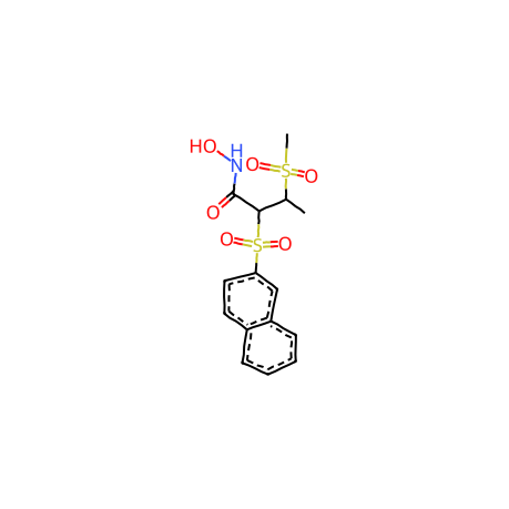 CC(C(C(=O)NO)S(=O)(=O)c1ccc2ccccc2c1)S(C)(=O)=O